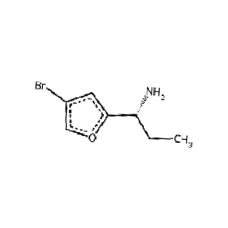 CC[C@@H](N)c1cc(Br)co1